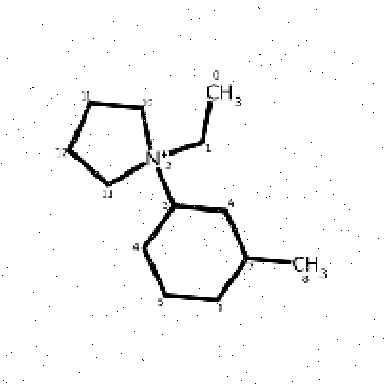 CC[N+]1(C2CCCC(C)C2)CCCC1